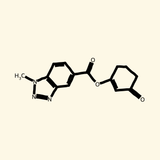 Cn1nnc2cc(C(=O)OC3=CC(=O)CCC3)ccc21